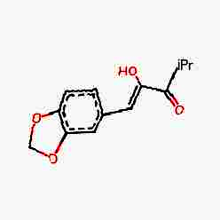 CC(C)C(=O)/C(O)=C/c1ccc2c(c1)OCO2